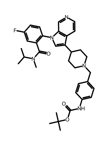 CC(C)N(C)C(=O)c1cc(F)ccc1-n1cc(C2CCN(Cc3ccc(NC(=O)OC(C)(C)C)cc3)CC2)c2ccncc21